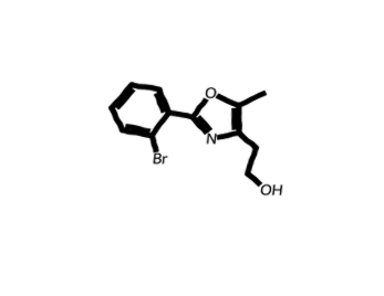 Cc1oc(-c2ccccc2Br)nc1CCO